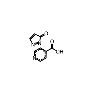 O=C(O)c1ccncc1.O=C1C=CN=N1